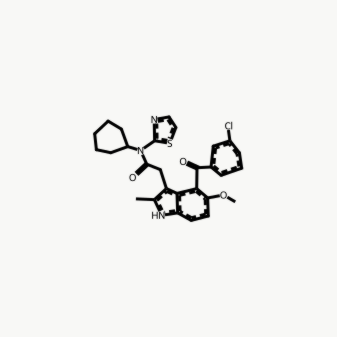 COc1ccc2[nH]c(C)c(CC(=O)N(c3nccs3)C3CCCCC3)c2c1C(=O)c1cccc(Cl)c1